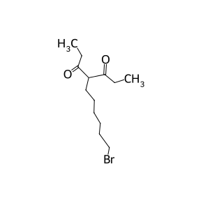 CCC(=O)C(CCCCCCBr)C(=O)CC